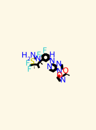 CC1[C@@](C)(C(F)F)SC(N)=N[C@]1(C)c1cc(Nc2nccc3nc(O[C@@H](C)c4ncco4)cnc23)cc(F)c1F